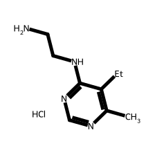 CCc1c(C)ncnc1NCCN.Cl